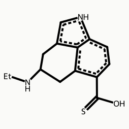 CCNC1Cc2c[nH]c3ccc(C(O)=S)c(c23)C1